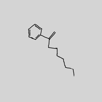 C=C(CCCCCCC)c1ccccc1